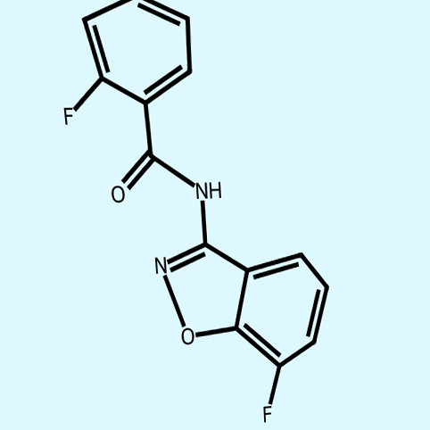 O=C(Nc1noc2c(F)cccc12)c1ccccc1F